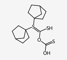 OC(=S)OC(S)=S(C12CCC(CC1)C2)C12CCC(CC1)C2